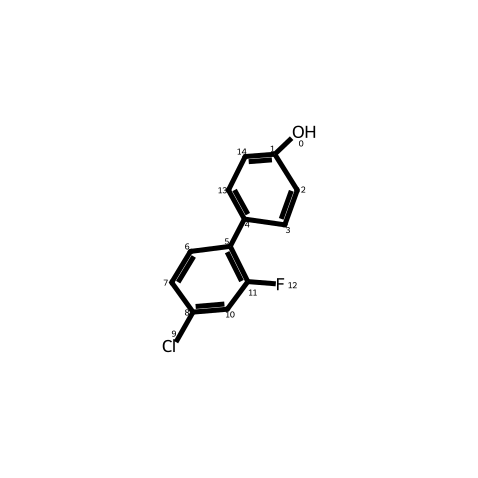 Oc1ccc(-c2ccc(Cl)cc2F)cc1